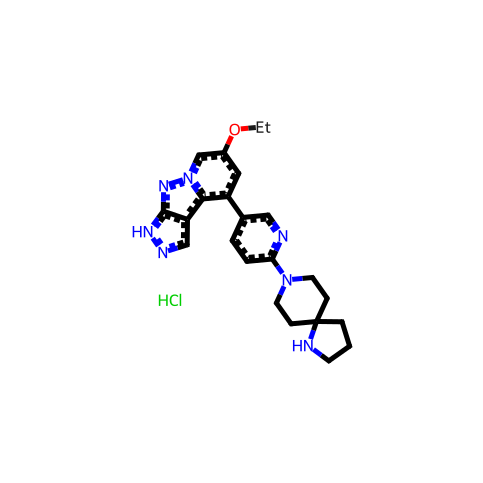 CCOc1cc(-c2ccc(N3CCC4(CCCN4)CC3)nc2)c2c3cn[nH]c3nn2c1.Cl